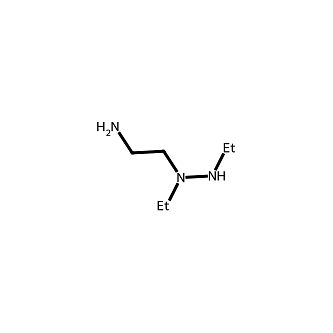 CCNN(CC)CCN